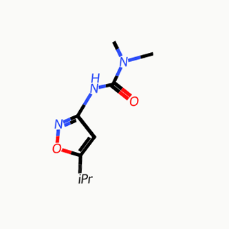 CC(C)c1cc(NC(=O)N(C)C)no1